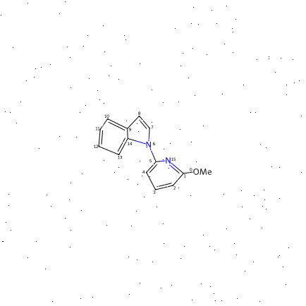 COc1cccc(-n2ccc3ccccc32)n1